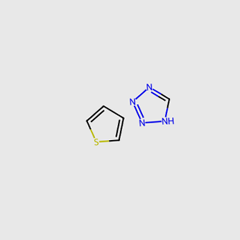 c1ccsc1.c1nnn[nH]1